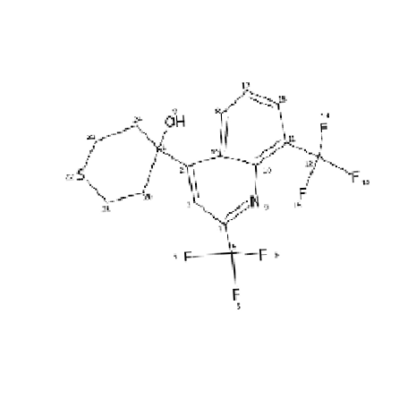 OC1(c2cc(C(F)(F)F)nc3c(C(F)(F)F)cccc23)CCSCC1